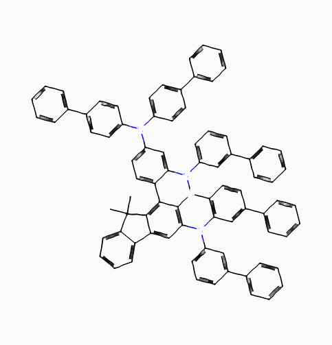 CC1(C)c2ccccc2-c2cc3c4c(c21)-c1ccc(N(c2ccc(-c5ccccc5)cc2)c2ccc(-c5ccccc5)cc2)cc1N(c1cccc(-c2ccccc2)c1)B4c1ccc(-c2ccccc2)cc1N3c1cccc(-c2ccccc2)c1